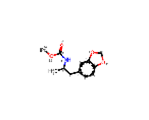 CC(Cc1ccc2c(c1)OCO2)NC(=O)OC(C)C